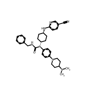 CN(C)C1CCN(c2ccc(N(C(=O)NCc3ccccc3)[C@H]3CC[C@H](Nc4ccc(C#N)cn4)CC3)cc2)CC1